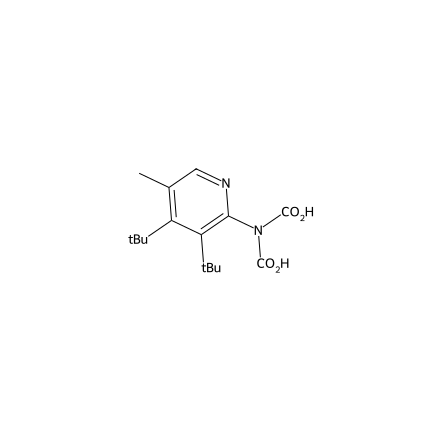 Cc1cnc(N(C(=O)O)C(=O)O)c(C(C)(C)C)c1C(C)(C)C